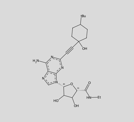 CCNC(=O)[C@H]1O[C@@H](n2cnc3c(N)nc(C#CC4(O)CCC(C(C)(C)C)CC4)nc32)C(O)C1O